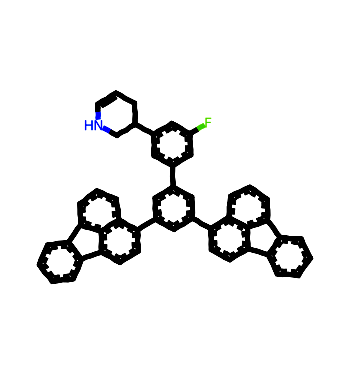 Fc1cc(-c2cc(-c3ccc4c5c(cccc35)-c3ccccc3-4)cc(-c3ccc4c5c(cccc35)-c3ccccc3-4)c2)cc(C2CC=CNC2)c1